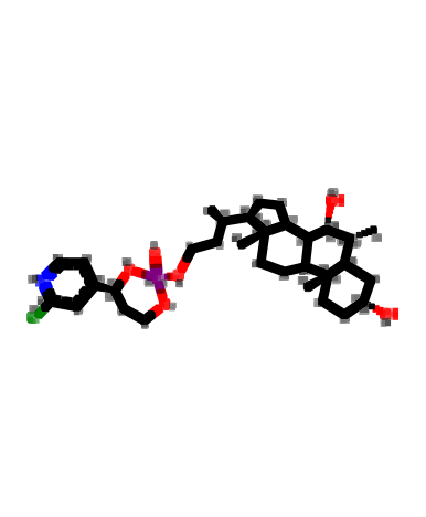 C[C@H](CCO[P@]1(=O)OCC[C@@H](c2ccnc(Cl)c2)O1)[C@H]1CCC2C3C(CC[C@@]21C)[C@@]1(C)CC[C@@H](O)CC1[C@@H](C)[C@H]3O